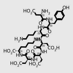 NCCCC[C@H](NC(=O)[C@H](CC(=O)O)NC(=O)[C@H](CC(=O)O)NC(=O)[C@H](CC(=O)O)NC(=O)[C@H](CCCCN)NC(=O)[C@H](Cc1ccc(O)cc1)NC(=O)[C@@H](N)CC(=O)O)C(=O)O